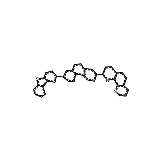 c1cnc2c(c1)ccc1ccc(-c3ccc4c(ccc5cc(-c6ccc7sc8ccccc8c7c6)ccc54)c3)nc12